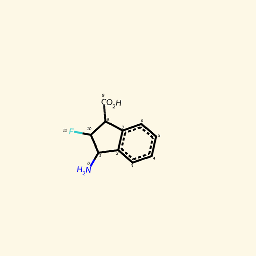 NC1c2ccccc2C(C(=O)O)C1F